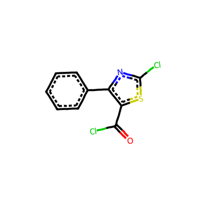 O=C(Cl)c1sc(Cl)nc1-c1ccccc1